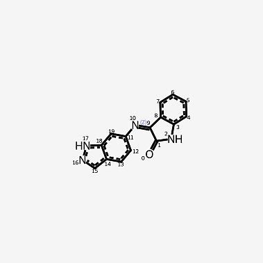 O=C1Nc2ccccc2/C1=N/c1ccc2cn[nH]c2c1